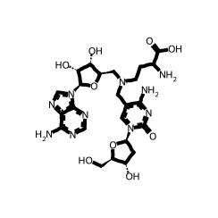 Nc1nc(=O)n([C@H]2C[C@H](O)[C@@H](CO)O2)cc1CN(CCC(N)C(=O)O)C[C@H]1O[C@@H](n2cnc3c(N)ncnc32)[C@H](O)[C@@H]1O